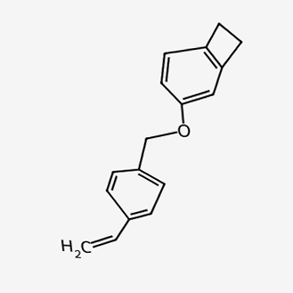 C=Cc1ccc(COc2ccc3c(c2)CC3)cc1